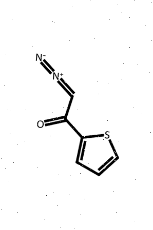 [N-]=[N+]=CC(=O)c1cccs1